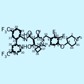 CN1CCC(Oc2ccc(CN3C(=O)C(C(=O)Nc4ccc(C(F)(F)F)cc4-c4cc(C(F)(F)F)ncn4)=C(O)C4(CCC4)N3C)c(F)c2F)CC1